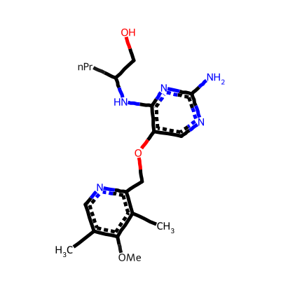 CCCC(CO)Nc1nc(N)ncc1OCc1ncc(C)c(OC)c1C